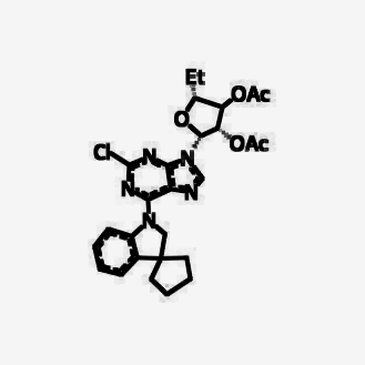 CC[C@H]1O[C@@H](n2cnc3c(N4CC5(CCCC5)c5ccccc54)nc(Cl)nc32)[C@@H](OC(C)=O)C1OC(C)=O